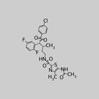 CC(=O)Nc1sc(S(=O)(=O)NCCC(C)C(c2cc(F)ccc2F)S(=O)(=O)c2ccc(Cl)cc2)nc1C